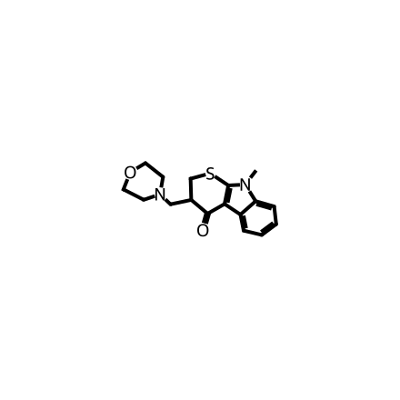 Cn1c2c(c3ccccc31)C(=O)C(CN1CCOCC1)CS2